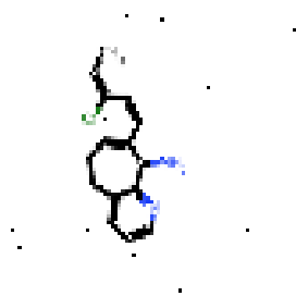 C/C=C(Cl)\C=C/C1=CCCc2cccnc2C1N